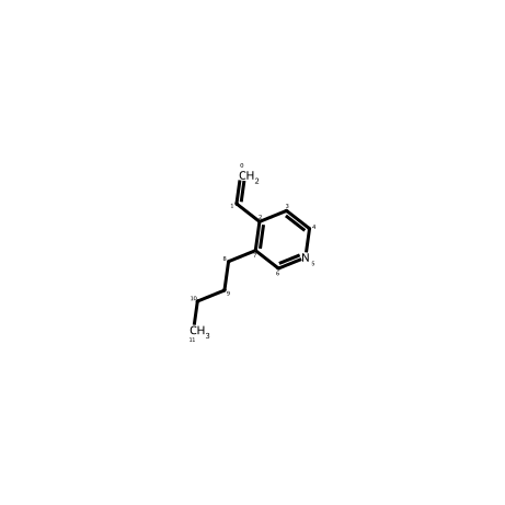 C=Cc1ccncc1CCCC